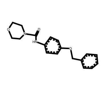 O=C(Nc1ccc(OCc2ccccc2)cc1)N1CCOCC1